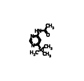 CC(=O)Nc1c[c]([Sn]([CH3])([CH3])[CH3])ncn1